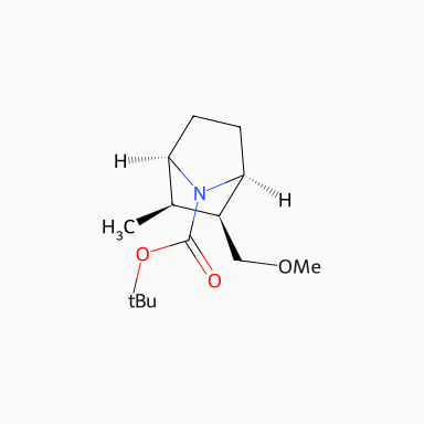 COC[C@H]1[C@@H](C)[C@H]2CC[C@@H]1N2C(=O)OC(C)(C)C